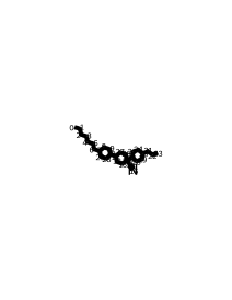 CCCCCCCC1CCC(C2CCC(C#N)(C3CCC(CCC)CC3)CC2)CC1